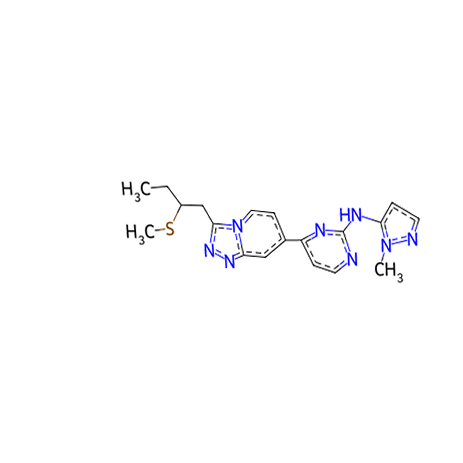 CCC(Cc1nnc2cc(-c3ccnc(Nc4ccnn4C)n3)ccn12)SC